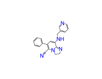 N#CC1=C(c2ccccc2)C=C(NCc2cccnc2)C2=NCCN21